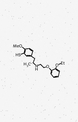 CCOc1ccccc1OCCN[C@H](C)Cc1ccc(OC)c(S)c1